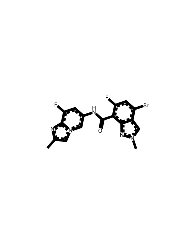 Cc1cn2cc(NC(=O)c3c(F)cc(Br)c4cn(C)nc34)cc(F)c2n1